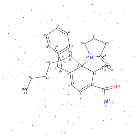 CCCC1C(C(N)=O)=CC=C(Cc2ccccc2)C1(NC(C)(C)CCCC(C)C)N1CCCC1=O